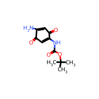 CC(C)(C)OC(=O)NC1=CC(=O)C(N)=CC1=O